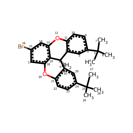 BC12c3cc(C(C)(C)C)ccc3Oc3cc(Br)cc(c31)Oc1ccc(C(C)(C)C)cc12